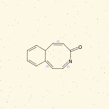 O=C1/C=C\C2C=CC=C/C2=C/C=N\1